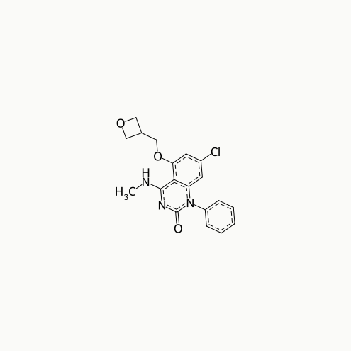 CNc1nc(=O)n(-c2ccccc2)c2cc(Cl)cc(OCC3COC3)c12